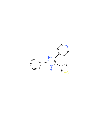 c1ccc(-c2nc(-c3ccncc3)c(-c3ccsc3)[nH]2)cc1